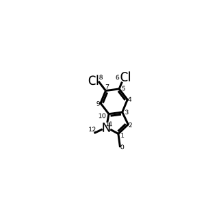 Cc1cc2cc(Cl)c(Cl)cc2n1C